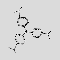 CC(C)c1ccc(B(c2ccc(C(C)C)cc2)c2ccc(C(C)C)cc2)cc1